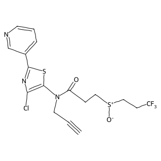 C#CCN(C(=O)CC[S+]([O-])CCC(F)(F)F)c1sc(-c2cccnc2)nc1Cl